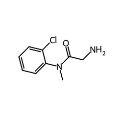 CN(C(=O)CN)c1ccccc1Cl